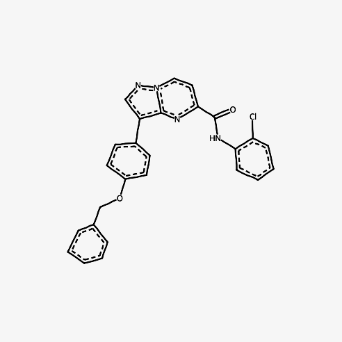 O=C(Nc1ccccc1Cl)c1ccn2ncc(-c3ccc(OCc4ccccc4)cc3)c2n1